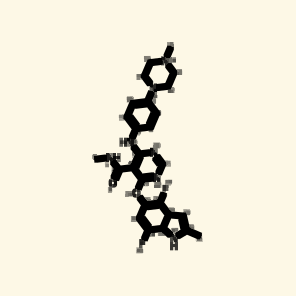 CNC(=O)c1c(Nc2ccc(N3CCN(C)CC3)cc2)ncnc1OC1=C(F)C2C=C(C)NC2C(F)=C1